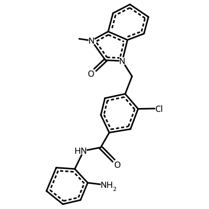 Cn1c(=O)n(Cc2ccc(C(=O)Nc3ccccc3N)cc2Cl)c2ccccc21